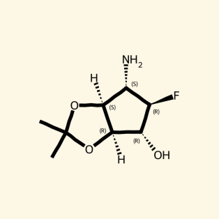 CC1(C)O[C@@H]2[C@@H](O)[C@H](F)[C@@H](N)[C@@H]2O1